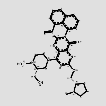 C=Cc1cccc2cccc(-n3c(C)nc4c(N5CCN(C(=O)O)[C@@H](CC#N)C5)nc(OC[C@@H]5CCCN5C)nc4c3=O)c12